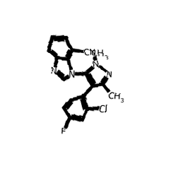 Cc1nn(C)c(-n2cnc3cccc(C#N)c32)c1-c1ccc(F)cc1Cl